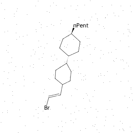 CCCCC[C@H]1CC[C@H](C2CCC(/C=C/Br)CC2)CC1